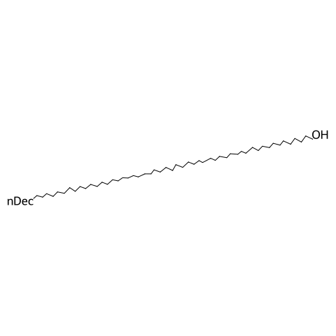 CCCCCCCCCCCCCCCCCCCCCCCCCCCCCCCCCCCCCCCCCCCCCCCCCCCCCCCCCCCCCCO